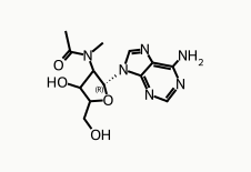 CC(=O)N(C)C1C(O)C(CO)O[C@H]1n1cnc2c(N)ncnc21